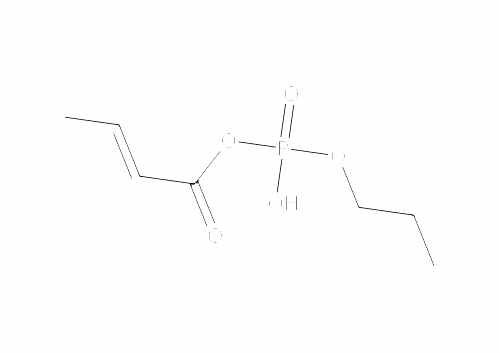 CC=CC(=O)OP(=O)(O)OCCC